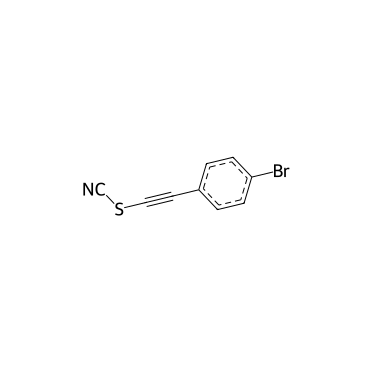 N#CSC#Cc1ccc(Br)cc1